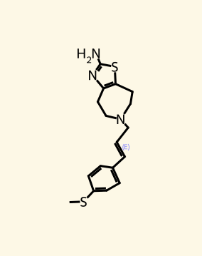 CSc1ccc(/C=C/CN2CCc3nc(N)sc3CC2)cc1